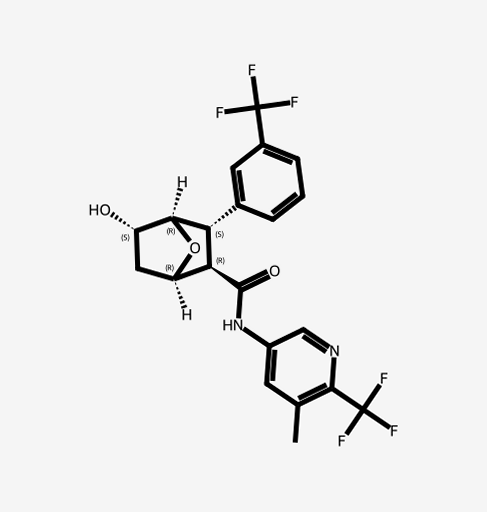 Cc1cc(NC(=O)[C@@H]2[C@@H](c3cccc(C(F)(F)F)c3)[C@H]3O[C@@H]2C[C@@H]3O)cnc1C(F)(F)F